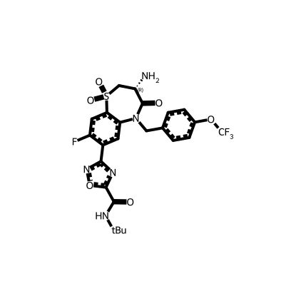 CC(C)(C)NC(=O)c1nc(-c2cc3c(cc2F)S(=O)(=O)C[C@H](N)C(=O)N3Cc2ccc(OC(F)(F)F)cc2)no1